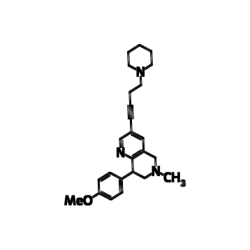 COc1ccc(C2CN(C)Cc3cc(C#CCCN4CCCCC4)cnc32)cc1